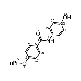 CCCOc1ccc(C(=O)Nc2ccc(O)cc2)cc1